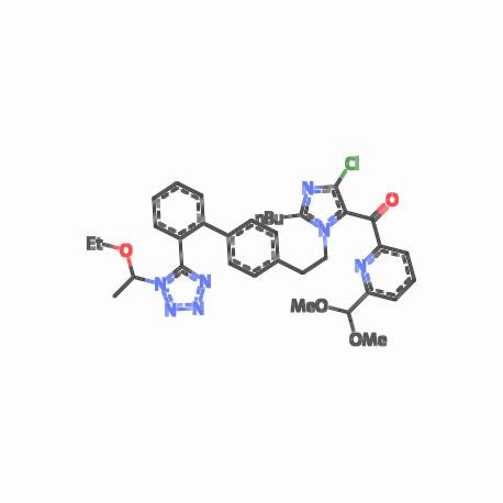 CCCCc1nc(Cl)c(C(=O)c2cccc(C(OC)OC)n2)n1CCc1ccc(-c2ccccc2-c2nnnn2C(C)OCC)cc1